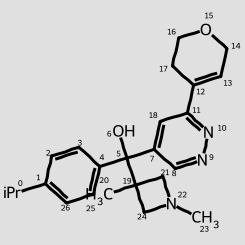 CC(C)c1ccc(C(O)(c2cnnc(C3=CCOCC3)c2)C2(C)CN(C)C2)cc1